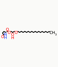 CCCCCCCCCCCCCCCCCCCCOCC(O)COC(=O)[C@@H]1CCC(=O)N1